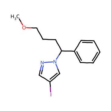 COCCCC(c1ccccc1)n1cc(I)cn1